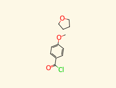 C1CCOC1.COc1ccc(C(=O)Cl)cc1